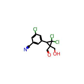 N#Cc1cc(Cl)cc(C2C(Cl)(Cl)C2(C=O)CO)c1